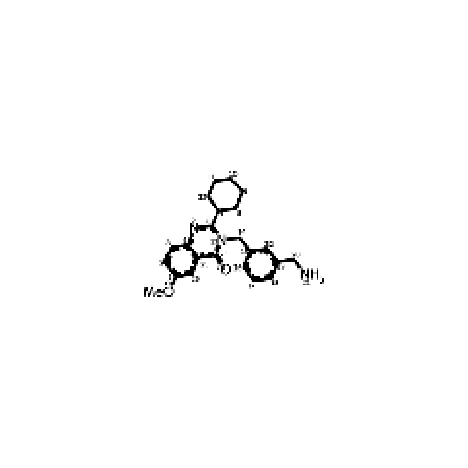 COc1ccc2nc(C3CCCCC3)n(Cc3cccc(CN)c3)c(=O)c2c1